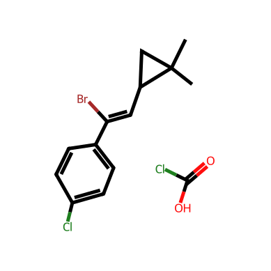 CC1(C)CC1C=C(Br)c1ccc(Cl)cc1.O=C(O)Cl